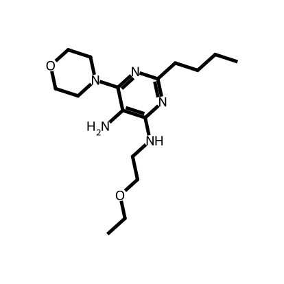 CCCCc1nc(NCCOCC)c(N)c(N2CCOCC2)n1